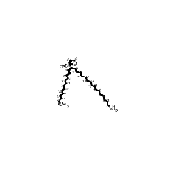 CCCCCCCCCCCCCCCCCC(CCCCCCCCCCCCCC)C1(O)CCO1